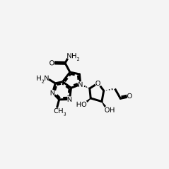 Cc1nc(N)c2c(C(N)=O)cn([C@@H]3O[C@H](CC=O)[C@@H](O)[C@H]3O)c2n1